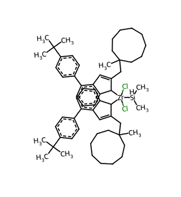 C[SiH](C)[Zr]([Cl])([Cl])([CH]1C(CC2(C)CCCCCCCC2)=Cc2c(-c3ccc(C(C)(C)C)cc3)cccc21)[CH]1C(CC2(C)CCCCCCCC2)=Cc2c(-c3ccc(C(C)(C)C)cc3)cccc21